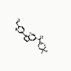 O=Cc1ccc(-n2ccc3cc(C(=O)N4CCC(F)(F)CC4)cnc32)cn1